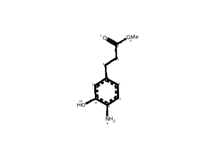 COC(=O)CCc1ccc(N)c(O)c1